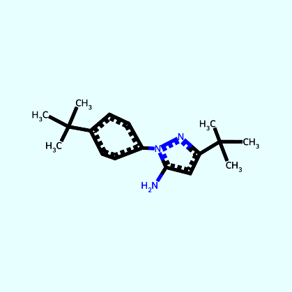 CC(C)(C)c1ccc(-n2nc(C(C)(C)C)cc2N)cc1